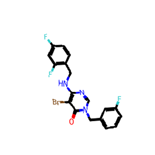 O=c1c(Br)c(NCc2ccc(F)cc2F)ncn1Cc1cccc(F)c1